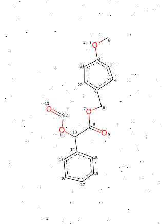 COc1ccc(COC(=O)C(O[C]=O)c2ccccc2)cc1